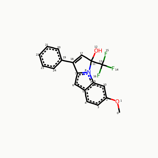 COc1ccc2cc3n(c2c1)C(O)(C(F)(F)F)C=C3c1ccccc1